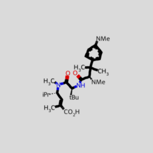 CNc1ccc(C(C)(C)[C@@H](NC)C(=O)N[C@H](C(=O)N(C)[C@H](/C=C(\C)C(=O)O)C(C)C)C(C)(C)C)cc1